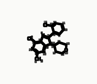 Cc1nc(Cl)c2nc(-c3ccccc3Cl)n(C3CCOCC3)c2n1